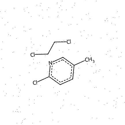 Cc1ccc(Cl)nc1.ClCCCl